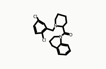 O=C(C1CCCCN1Cc1cc(Cl)ccc1Cl)N1CCCc2ccccc21